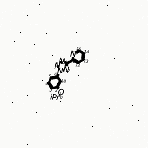 CC(C)Oc1cccc(-n2nnc(-c3ccccn3)n2)c1